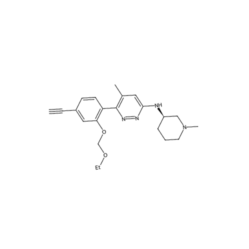 C#Cc1ccc(-c2nnc(N[C@@H]3CCCN(C)C3)cc2C)c(OCOCC)c1